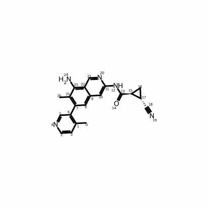 Cc1ccncc1-c1cc2cc(NC(=O)[C@H]3C[C@@H]3C#N)ncc2c(N)c1C